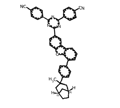 CC1(c2ccc(-c3cccc4c3oc3ccc(-c5nc(-c6ccc(C#N)cc6)nc(-c6ccc(C#N)cc6)n5)cc34)cc2)C[C@@H]2CC[C@@H](C2)C1